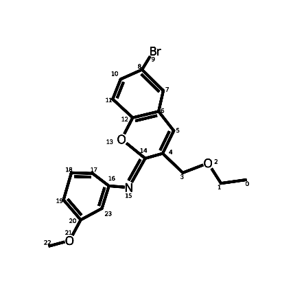 CCOCc1cc2cc(Br)ccc2o/c1=N\c1cccc(OC)c1